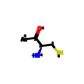 CC(=O)C(=O)[C@@H]([NH])CS